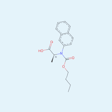 CCCCOC(=O)N(c1ccc2ccccc2c1)[C@@H](C)C(=O)O